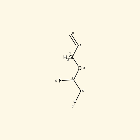 C=C[SiH2]OC(F)CF